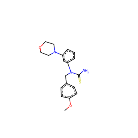 COc1ccc(CN(C(N)=S)c2cccc(N3CCOCC3)c2)cc1